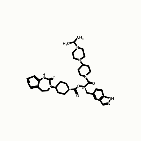 CC(C)N1CCN(C2CCN(C(=O)[C@@H](Cc3ccc4[nH]ncc4c3)OC(=O)N3CCC(N4CCc5ccccc5NC4=O)CC3)CC2)CC1